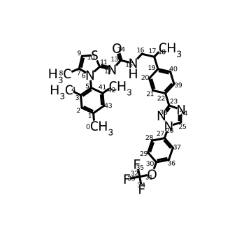 Cc1cc(C)c(-n2c(C)cs/c2=N\C(=O)NCC(C)c2ccc(-c3ncn(-c4ccc(OC(F)(F)F)cc4)n3)cc2)c(C)c1